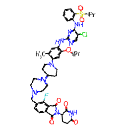 Cc1cc(Nc2ncc(Cl)c(Nc3ccccc3S(=O)(=O)C(C)C)n2)c(OC(C)C)cc1N1CCC(N2CCN(Cc3ccc4c(c3F)C(=O)N(C3CCC(=O)NC3=O)C4=O)CC2)CC1